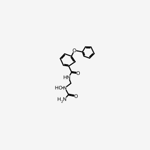 NC(=O)N(O)CNC(=O)c1cccc(Oc2ccccc2)c1